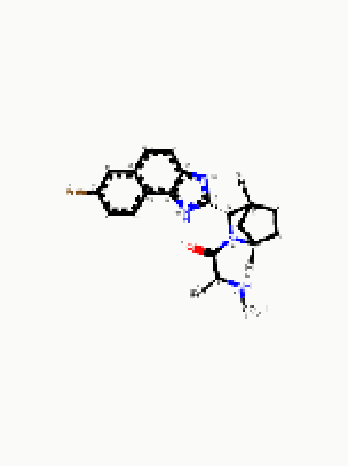 CC(C)[C@H](NC(=O)O)C(=O)N1[C@H]2CC[C@H](C2)[C@H]1c1nc2ccc3cc(Br)ccc3c2[nH]1